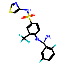 N[C@H](Nc1ccc(S(=O)(=O)Nc2cscn2)cc1C(F)(F)F)c1cc(F)ccc1F